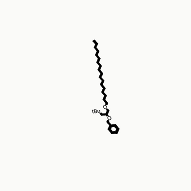 C=CCCCCCCCCCCCCCCCCOCC(CC(C)(C)C)OCc1ccccc1